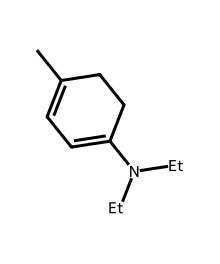 CCN(CC)C1=CC=C(C)CC1